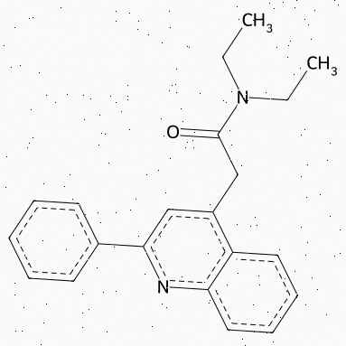 CCN(CC)C(=O)Cc1cc(-c2ccccc2)nc2ccccc12